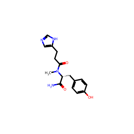 CN(C(=O)CCc1cnc[nH]1)[C@H](Cc1ccc(O)cc1)C(N)=O